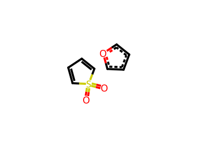 O=S1(=O)C=CC=C1.c1ccoc1